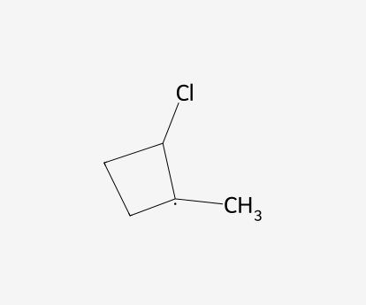 C[C]1CCC1Cl